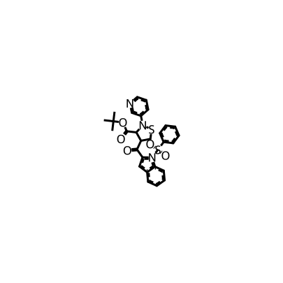 CC(C)(C)OC(=O)C1C(C(=O)c2cc3ccccc3n2S(=O)(=O)c2ccccc2)CSN1c1cccnc1